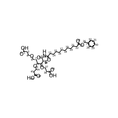 O=C(O)CCOC[C@H]1O[C@@H](NC(=O)CCCCCCCCCCC(=O)OCc2ccccc2)[C@H](F)[C@@H](OCCC(=O)O)[C@@H]1OCCC(=O)O